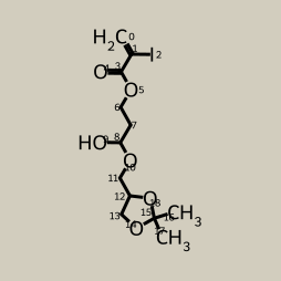 C=C(I)C(=O)OCCC(O)OCC1COC(C)(C)O1